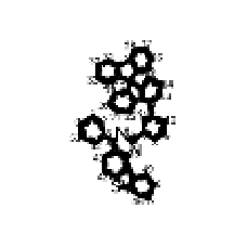 c1ccc(-c2nc(-c3cccc(-c4cccc(C5(c6ccccc6)c6ccccc6-c6ccccc65)c4)c3)nc3c2ccc2sc4ccccc4c23)cc1